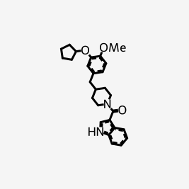 COc1ccc(CC2CCN(C(=O)c3c[nH]c4ccccc34)CC2)cc1OC1CCCC1